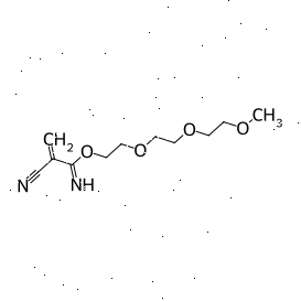 C=C(C#N)C(=N)OCCOCCOCCOC